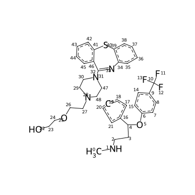 CNCCC(Oc1ccc(C(F)(F)F)cc1)c1ccccc1.OCCOCCN1CCN(C2=Nc3ccccc3Sc3ccccc32)CC1